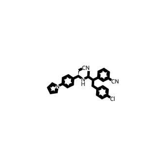 CC(N[C@@H](CC#N)c1ccc(-n2cccc2)cc1)C(Cc1ccc(Cl)cc1)c1cccc(C#N)c1